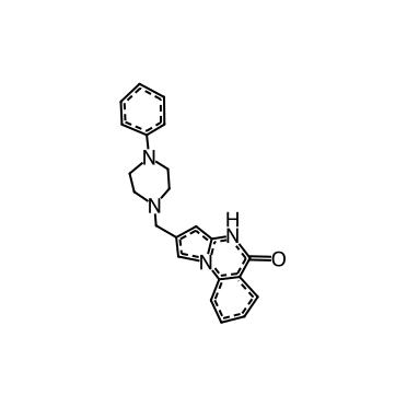 O=c1[nH]c2cc(CN3CCN(c4ccccc4)CC3)cn2c2ccccc12